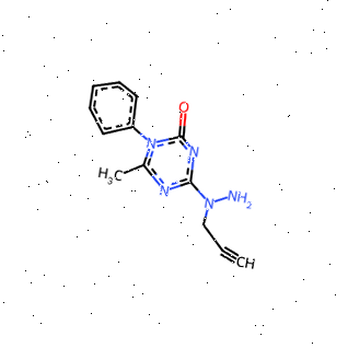 C#CCN(N)c1nc(C)n(-c2ccccc2)c(=O)n1